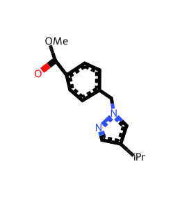 COC(=O)c1ccc(Cn2cc(C(C)C)cn2)cc1